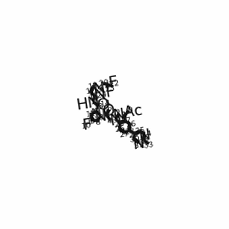 CC(=O)c1nn(CC(=O)N2C[C@H](F)C[C@H]2C(=O)Nc2ccn(CC(F)F)n2)c2ccc(-c3cnc(C)nc3)cc12